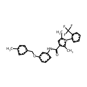 Cc1ccc(COc2cccc(NC(=O)c3cc(C)n(-c4ccccc4C(F)(F)F)c3C)c2)cc1